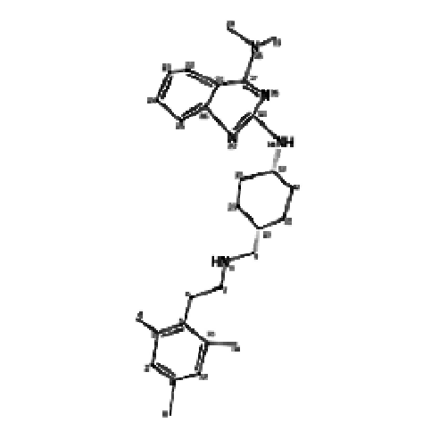 Cc1cc(C)c(CCNC[C@H]2CC[C@@H](Nc3nc(N(C)C)c4ccccc4n3)CC2)c(C)c1